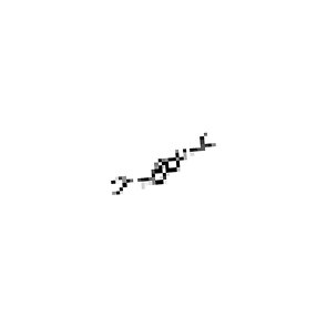 CCN(CC)CCCOc1ccc2c(c1)oc1cc(OCCCN(CC)CC)ccc12